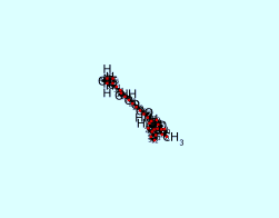 Cc1ccc(S(=O)(=O)N2CC[C@@H]3[C@H](CNC(=O)CCOCCOCCOCCNC(=O)CCCC[C@@H]4SC[C@@H]5NC(=O)N[C@@H]54)Nc4ccc(-c5ccccc5F)cc4[C@@H]32)cc1